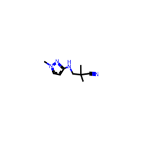 Cn1ccc(NCC(C)(C)C#N)n1